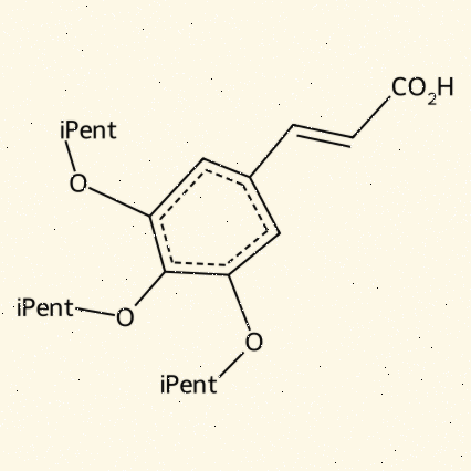 CCCC(C)Oc1cc(C=CC(=O)O)cc(OC(C)CCC)c1OC(C)CCC